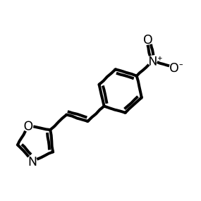 O=[N+]([O-])c1ccc(C=Cc2cnco2)cc1